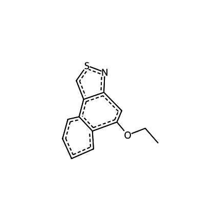 CCOc1cc2nscc2c2ccccc12